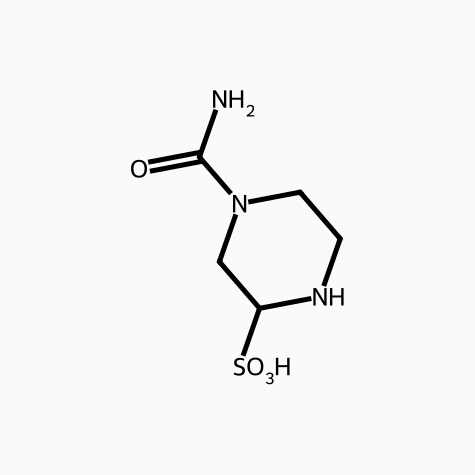 NC(=O)N1CCNC(S(=O)(=O)O)C1